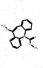 COC(=O)N1c2ccccc2C=C(OC)c2ccccc21